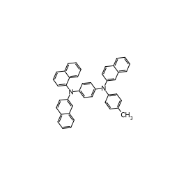 Cc1ccc(N(c2ccc(N(c3ccc4ccccc4c3)c3cccc4ccccc34)cc2)c2ccc3ccccc3c2)cc1